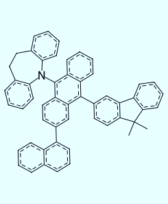 CC1(C)c2ccccc2-c2cc(-c3c4ccccc4c(N4c5ccccc5CCc5ccccc54)c4ccc(-c5cccc6ccccc56)cc34)ccc21